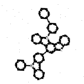 c1ccc(-c2cccc(-n3c4ccccc4c4c(-c5ccc6c(c5)c5ccccc5n6-c5ccccc5)cc5sc6ccccc6c5c43)c2)cc1